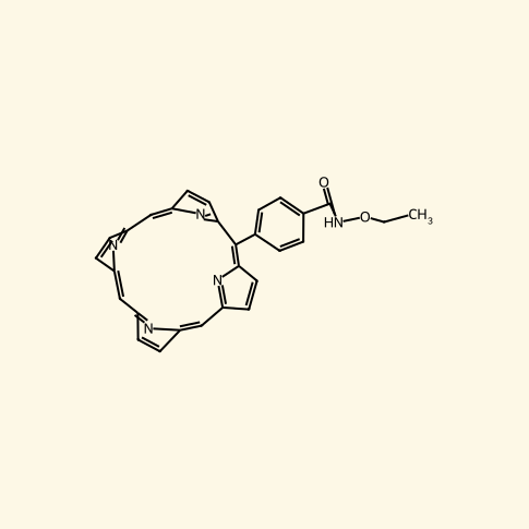 CCONC(=O)c1ccc(C2=C3C=CC(=N3)C=C3C=CC(=N3)C=C3C=CC(=N3)C=C3C=CC2=N3)cc1